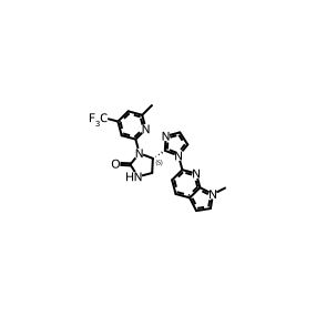 Cc1cc(C(F)(F)F)cc(N2C(=O)NC[C@H]2c2nccn2-c2ccc3ccn(C)c3n2)n1